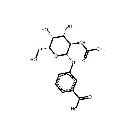 CC(=O)N[C@H]1[C@H](Oc2cccc(C(=O)O)c2)O[C@H](CO)[C@H](O)[C@@H]1O